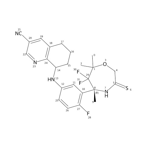 CC1(C)OCC(=S)N[C@](C)(c2cc(NC3CCCc4cc(C#N)cnc43)ccc2F)C1(F)F